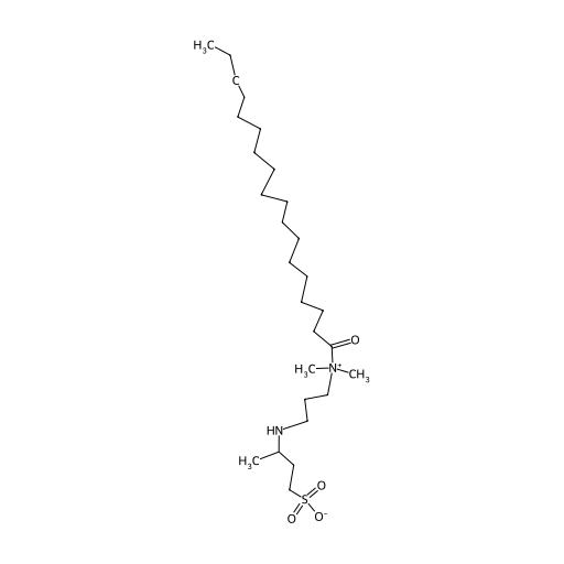 CCCCCCCCCCCCCCCCCC(=O)[N+](C)(C)CCCNC(C)CCS(=O)(=O)[O-]